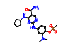 CN(C)c1cc(Nc2ncc(C(N)=O)c(NC3CCCC3)n2)ccc1OS(C)(=O)=O